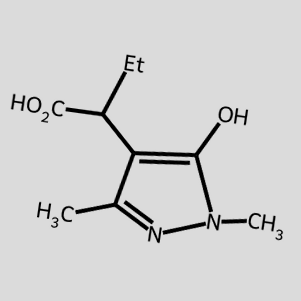 CCC(C(=O)O)c1c(C)nn(C)c1O